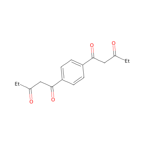 CCC(=O)CC(=O)c1ccc(C(=O)CC(=O)CC)cc1